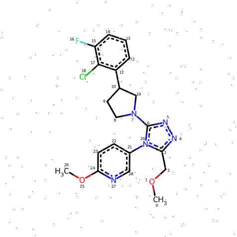 COCc1nnc(N2CCC(c3cccc(F)c3Cl)C2)n1-c1ccc(OC)nc1